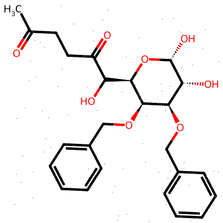 CC(=O)CCC(=O)C(O)[C@H]1O[C@H](O)[C@H](O)[C@@H](OCc2ccccc2)[C@H]1OCc1ccccc1